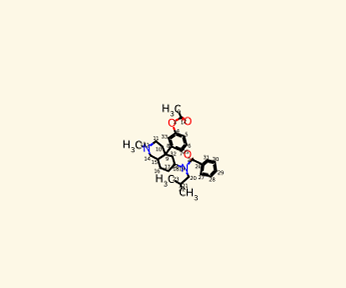 CC(=O)Oc1cccc(C23CCN(C)CC2CC[C@H](N(CC(C)C)C(=O)c2ccccc2)C3)c1